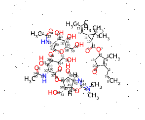 C=CCC1=C(C)C(OC(=O)C2C(C=C(C)C)C2(C)C)CC1=O.CC(=O)N[C@H]1[C@H](O[C@H]2[C@@H](O)[C@@H](NC(C)=O)[C@H](O[C@H]3[C@H](O)[C@H]4N=C(N(C)C)O[C@H]4[C@@H]3CO)O[C@@H]2CO)O[C@H](CO)[C@@H](O)[C@H]1O